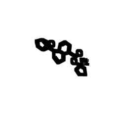 CCC1(OC(=O)c2cccc3c(C4CC5C=CC4C5=O)cccc23)CCCC1